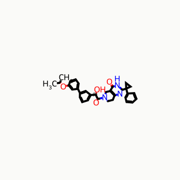 CC(C)Oc1cccc(-c2cccc([C@@H](O)C(=O)N3CCc4nc(C5(c6ccccc6)CC5)[nH]c(=O)c4C3)c2)c1